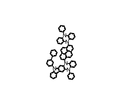 c1ccc(-c2cccc(-n3c4ccccc4c4cc5c(cc43)N(c3ccc4ccc6c(N7c8ccccc8N(c8ccccc8)c8ccccc87)ccc7ccc3c4c76)c3ccccc3N5c3ccccc3)c2)cc1